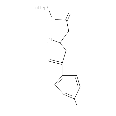 CCCCCCCOC(=O)CC(N)CC(=O)c1ccc(Cl)cc1